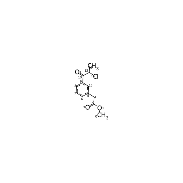 COC(=O)Cc1cccc(C(=O)C(C)Cl)c1